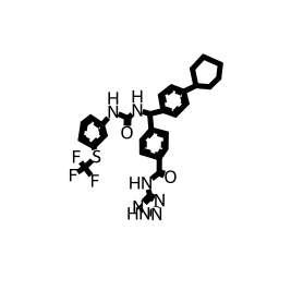 O=C(Nc1cccc(SC(F)(F)F)c1)NC(c1ccc(C(=O)Nc2nn[nH]n2)cc1)c1ccc(C2CCCCC2)cc1